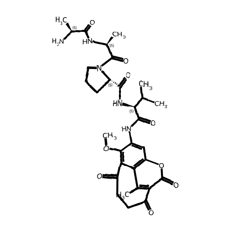 COc1c(NC(=O)[C@@H](NC(=O)[C@@H]2CCCN2C(=O)[C@H](C)NC(=O)[C@H](C)N)C(C)C)cc2oc(=O)c3c(C)c2c1C(=O)CCC3=O